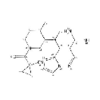 CC1CCN(C(=O)C2(C#N)CC2)CC1N(C)c1c(C(=N)N)cnn2cccc12